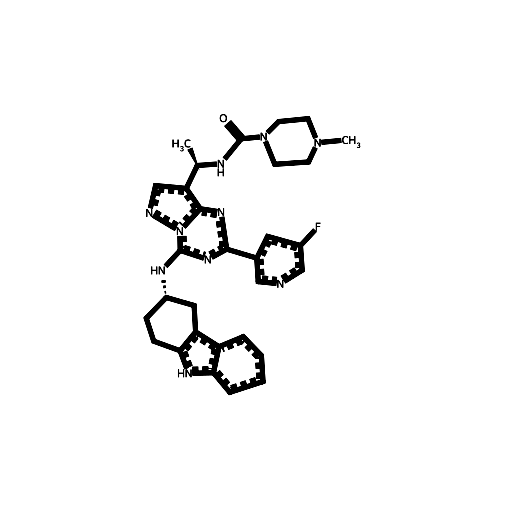 C[C@@H](NC(=O)N1CCN(C)CC1)c1cnn2c(N[C@H]3CCc4[nH]c5ccccc5c4C3)nc(-c3cncc(F)c3)nc12